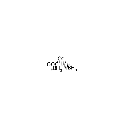 B.B.O=C([O-])[O-].[Li+].[Li+]